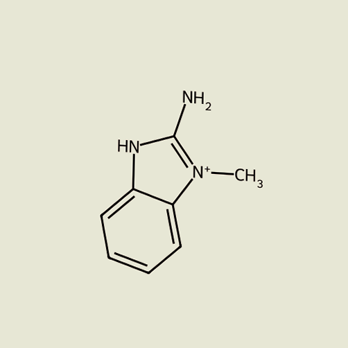 C[n+]1c(N)[nH]c2ccccc21